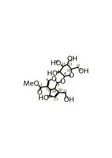 COC(=O)C1=COC(OC2OC(CO)C(O)C(O)C2O)C2C(CO)=CC(O)C12